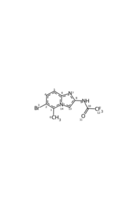 Cc1c(Br)ccc2nc(NC(=O)C(F)(F)F)cn12